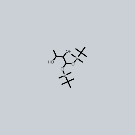 CC(O)C(O)C(O[Si](C)(C)C(C)(C)C)O[Si](C)(C)C(C)(C)C